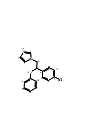 Clc1ccc(C(Cn2ccnc2)Sc2ccccc2)cc1